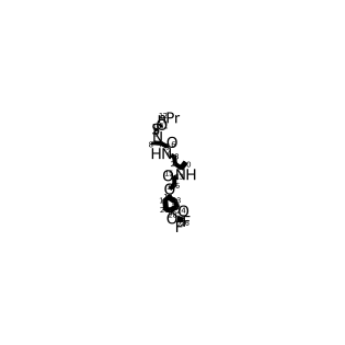 C=C(CCNC(=O)C1CN1SOCCC)NC(=O)COc1ccc2c(c1)OC(F)(F)O2